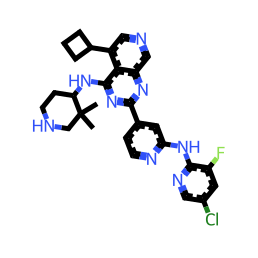 CC1(C)CNCCC1Nc1nc(-c2ccnc(Nc3ncc(Cl)cc3F)c2)nc2cncc(C3CCC3)c12